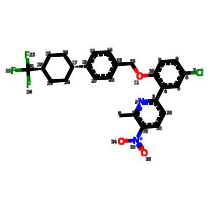 Cc1nc(-c2cc(Cl)ccc2OCc2ccc([C@H]3CC[C@H](C(F)(F)F)CC3)cc2)ccc1[N+](=O)[O-]